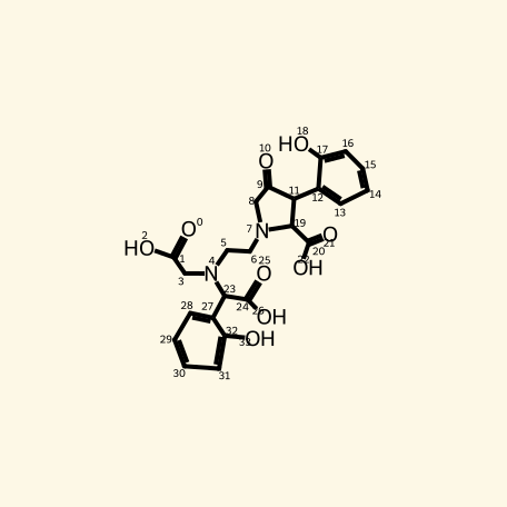 O=C(O)CN(CCN1CC(=O)C(c2ccccc2O)C1C(=O)O)C(C(=O)O)c1ccccc1O